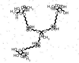 COCC(COCCCOP(=O)(O)OCCCCCCOC1OC(CO)C(O)C(O)C1NC(C)=O)(COCCCOP(=O)(O)OCCCCCCOC1OC(CO)C(O)C(O)C1NC(C)=O)COCCCOP(=O)(O)OCCCCCCOC(OC(CO)[C@@H](C)O)[C@H](CO)NC(C)=O